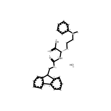 CN(CCC[C@H](NC(=O)OCC1c2ccccc2-c2ccccc21)C(=O)O)c1ccccc1.Cl